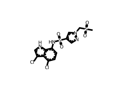 CS(=O)(=O)Cn1cc(S(=O)(=O)Nc2ccc(Cl)c3c(Cl)c[nH]c23)cn1